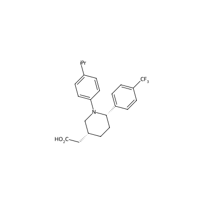 CC(C)c1ccc(N2C[C@@H](CC(=O)O)CC[C@H]2c2ccc(C(F)(F)F)cc2)cc1